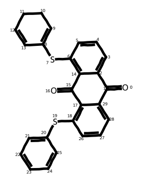 O=C1c2cccc(SC3=CCCC=C3)c2C(=O)c2c(Sc3ccccc3)cccc21